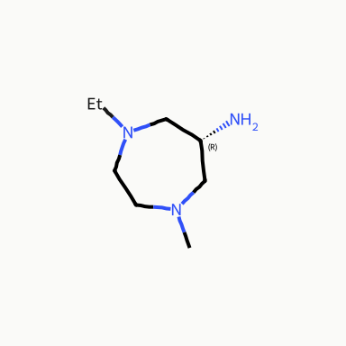 CCN1CCN(C)C[C@@H](N)C1